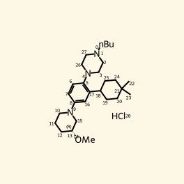 CCCCN1CCN(c2ccc(N3CCC[C@@H](OC)C3)cc2C2CCC(C)(C)CC2)CC1.Cl